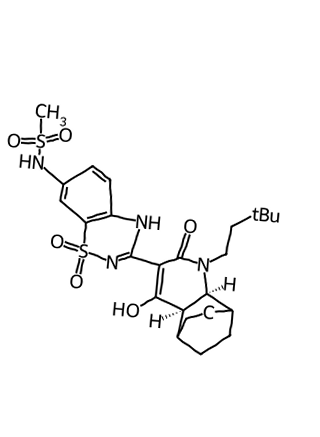 CC(C)(C)CCN1C(=O)C(C2=NS(=O)(=O)c3cc(NS(C)(=O)=O)ccc3N2)=C(O)[C@@H]2C3CCC(CC3)[C@@H]21